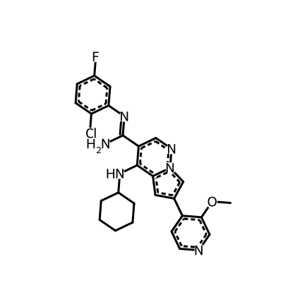 COc1cnccc1-c1cc2c(NC3CCCCC3)c(/C(N)=N/c3cc(F)ccc3Cl)cnn2c1